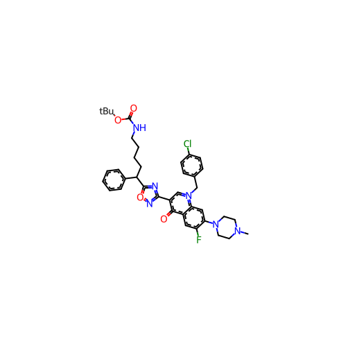 CN1CCN(c2cc3c(cc2F)c(=O)c(-c2noc(C(CCCCNC(=O)OC(C)(C)C)c4ccccc4)n2)cn3Cc2ccc(Cl)cc2)CC1